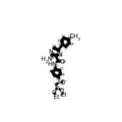 CCOP(C[S+]([O-])c1ccc(NC(=O)c2nc(-c3ccc(C)cc3)cnc2N)cc1)OCC